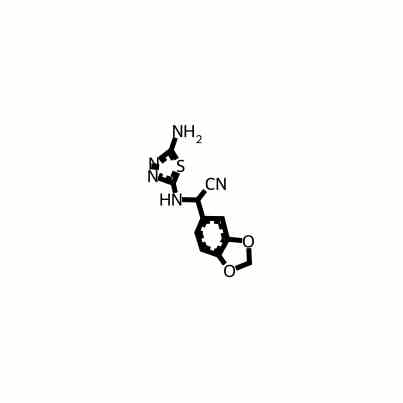 N#CC(Nc1nnc(N)s1)c1ccc2c(c1)OCO2